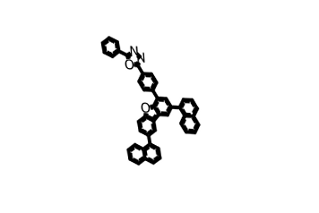 c1ccc(-c2nnc(-c3ccc(-c4cc(-c5cccc6ccccc56)cc5c4oc4ccc(-c6cccc7ccccc67)cc45)cc3)o2)cc1